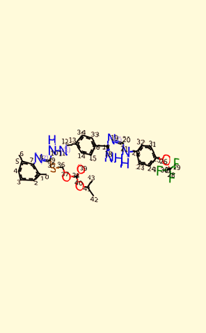 Cc1cccc(C)c1/N=C(/N/N=C/c1ccc(C(=N)/N=C\Nc2ccc(OC(F)(F)F)cc2)cc1)SCOC(=O)OC(C)C